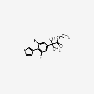 COC(=O)C(C)(C)c1cc(F)c(-c2ccsc2)c(F)c1